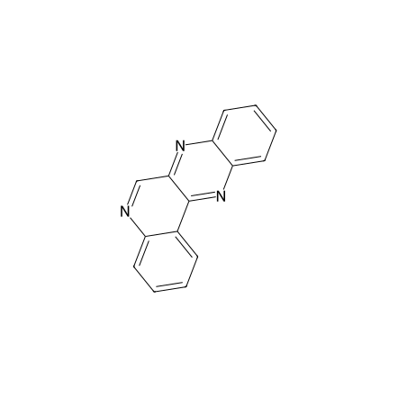 c1ccc2nc3c(cnc4ccccc43)nc2c1